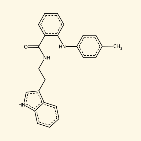 Cc1ccc(Nc2ccccc2C(=O)NCCc2c[nH]c3ccccc23)cc1